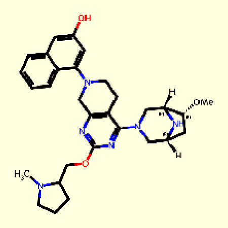 CO[C@@H]1C[C@@H]2CN(c3nc(OCC4CCCN4C)nc4c3CCN(c3cc(O)cc5ccccc35)C4)C[C@H]1N2